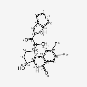 CN(C(=O)c1cc2ccccc2[nH]1)[C@@H]1CC[C@H](O)c2[nH]c(=O)c3cc(F)c(F)cc3c21